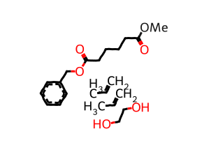 C=CC.C=CC.COC(=O)CCCCC(=O)OCc1ccccc1.OCCO